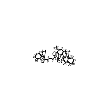 CCc1ccc2oc(C=CC=C3Nc4ccccc4O3)[n+](CC)c2c1-c1ccc2ccccc2n1.[I-]